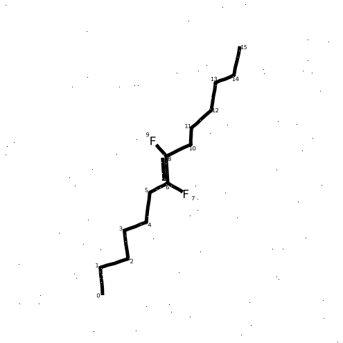 CCCCCCC(F)=C(F)CCCCCC